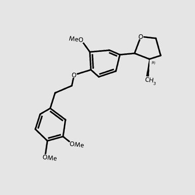 COc1ccc(CCOc2ccc(C3OCC[C@H]3C)cc2OC)cc1OC